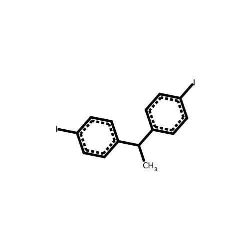 CC(c1ccc(I)cc1)c1ccc(I)cc1